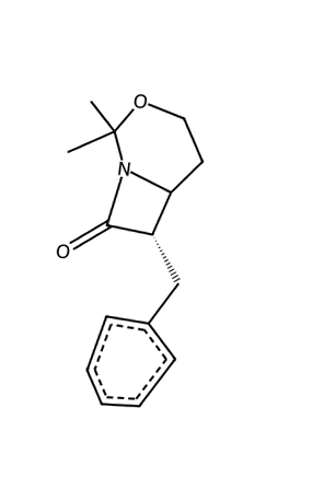 CC1(C)OCCC2[C@H](Cc3ccccc3)C(=O)N21